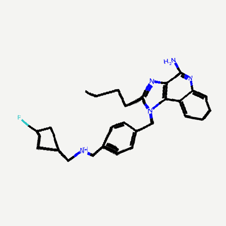 CCCCc1nc2c(N)nc3c(c2n1Cc1ccc(CNCC2CC(F)C2)cc1)=CCCC=3